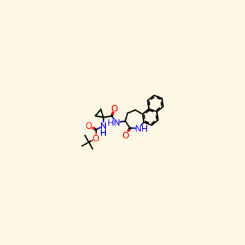 CC(C)(C)OC(=O)NC1(C(=O)NC2CCc3c(ccc4ccccc34)NC2=O)CC1